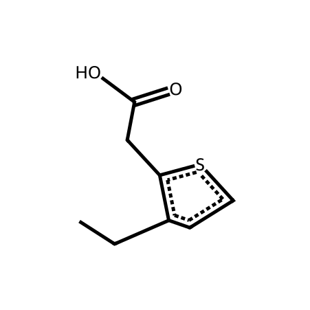 CCc1ccsc1CC(=O)O